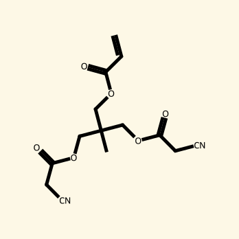 C=CC(=O)OCC(C)(COC(=O)CC#N)COC(=O)CC#N